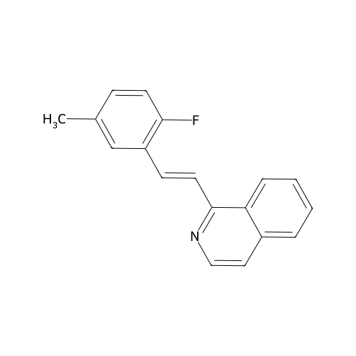 Cc1ccc(F)c(C=Cc2nccc3ccccc23)c1